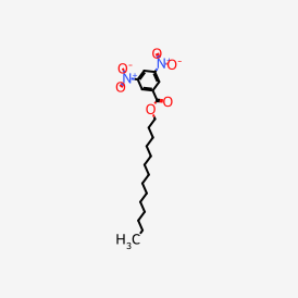 CCCCCCCCCCCCCCOC(=O)c1cc([N+](=O)[O-])cc([N+](=O)[O-])c1